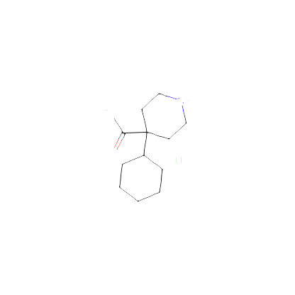 CCC(=O)C1(C2CCCCC2)CCNCC1.Cl